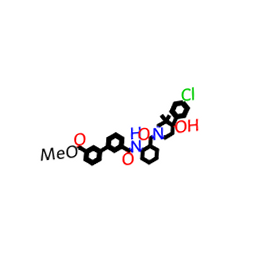 COC(=O)c1cccc(-c2cccc(C(=O)NC3CCCCC3C(=O)N3CCC(O)(c4ccc(Cl)cc4)C(C)(C)C3)c2)c1